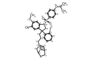 COc1cc2c(cc1Cl)C(CCCN1CC3CCC(C1)N3C)(c1ccccc1F)CN2S(=O)(=O)c1ccc(OC(C)C)cc1